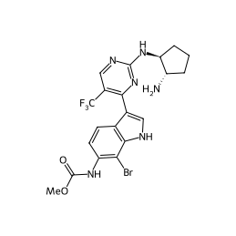 COC(=O)Nc1ccc2c(-c3nc(N[C@H]4CCC[C@@H]4N)ncc3C(F)(F)F)c[nH]c2c1Br